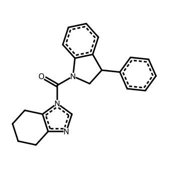 O=C(N1CC(c2ccccc2)c2ccccc21)n1cnc2c1CCCC2